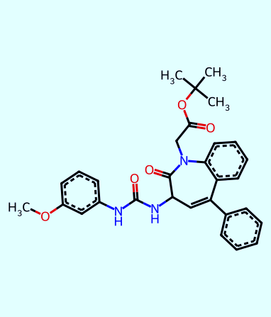 COc1cccc(NC(=O)NC2C=C(c3ccccc3)c3ccccc3N(CC(=O)OC(C)(C)C)C2=O)c1